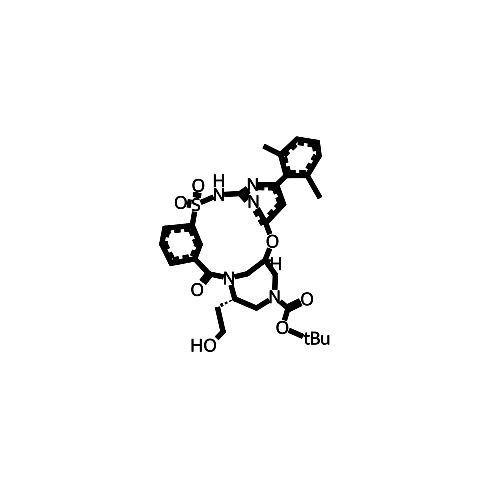 Cc1cccc(C)c1-c1cc2nc(n1)NS(=O)(=O)c1cccc(c1)C(=O)N1C[C@@H](CN(C(=O)OC(C)(C)C)C[C@@H]1CCO)O2